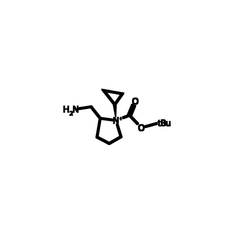 CC(C)(C)OC(=O)[N@+]1(C2CC2)CCCC1CN